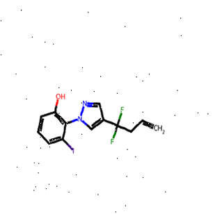 C=CCC(F)(F)c1cnn(-c2c(O)cccc2I)c1